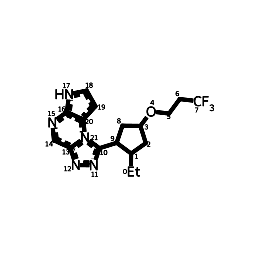 CCC1CC(OCCC(F)(F)F)CC1c1nnc2cnc3[nH]ccc3n12